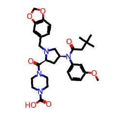 COc1cccc(N(C(=O)CC(C)(C)C)[C@H]2C[C@@H](C(=O)N3CCN(C(=O)O)CC3)N(Cc3ccc4c(c3)OCO4)C2)c1